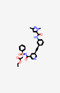 CCOC(=O)C[S@@](=O)(=NC(=O)c1cncc(C#Cc2cccc(NC(=O)c3cc(C)nn3C)c2)c1)c1ccccc1